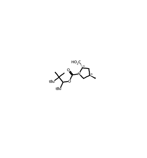 C[C@@H]1C[C@@H](C(=O)O)N(C(=O)OC(C(C)(C)C)C(C)(C)C(C)(C)C)C1